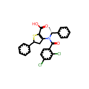 C[C@H](c1ccccc1)N(C(=O)c1ccc(Cl)cc1Cl)C1=C(C(=O)O)SC(c2ccccc2)C1